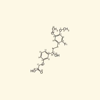 COc1cc(F)c(CC[C@@H](O)c2cccc(OCC(=O)O)c2)cc1OC